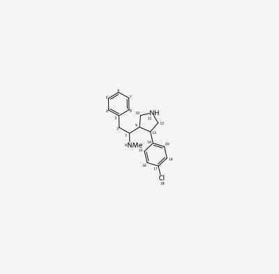 CNC(Cc1ccccc1)C1CNCC1c1ccc(Cl)cc1